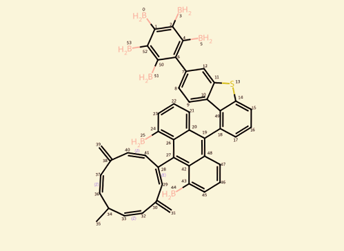 Bc1c(B)c(B)c(-c2ccc3c(c2)sc2cccc(-c4c5cccc(B)c5c(C5=C/C(=C)/C=C\C(C)/C=C\C(=C)/C=C\5)c5c(B)cccc45)c23)c(B)c1B